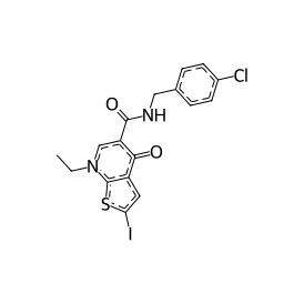 CCn1cc(C(=O)NCc2ccc(Cl)cc2)c(=O)c2cc(I)sc21